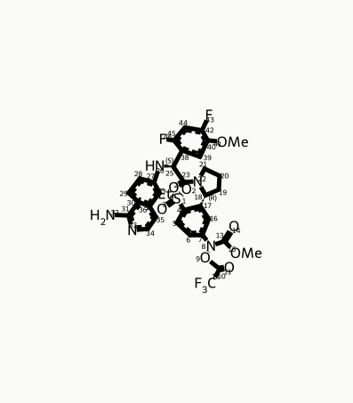 CCS(=O)(=O)c1ccc(N(OC(=O)C(F)(F)F)C(=O)OC)cc1[C@H]1CCCN1C(=O)[C@@H](Nc1ccc2c(N)nccc2c1)c1cc(OC)c(F)cc1F